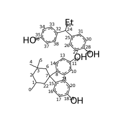 CC1CC(C)(C)CC(c2ccc(O)cc2)(c2ccc(O)cc2)C1.CCC(c1ccc(O)cc1)c1ccc(O)cc1